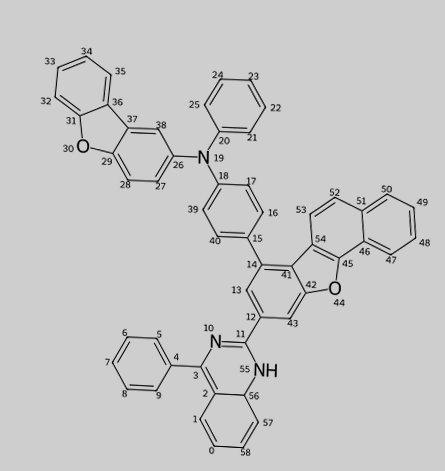 C1=CC2=C(c3ccccc3)N=C(c3cc(-c4ccc(N(c5ccccc5)c5ccc6oc7ccccc7c6c5)cc4)c4c(c3)oc3c5ccccc5ccc34)NC2C=C1